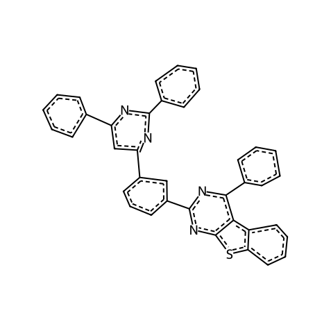 c1ccc(-c2cc(-c3cccc(-c4nc(-c5ccccc5)c5c(n4)sc4ccccc45)c3)nc(-c3ccccc3)n2)cc1